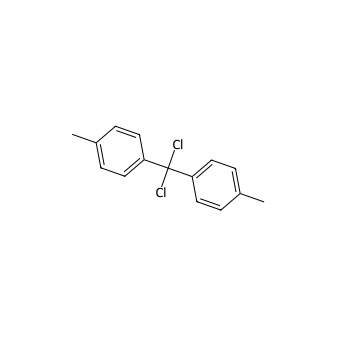 Cc1ccc(C(Cl)(Cl)c2ccc(C)cc2)cc1